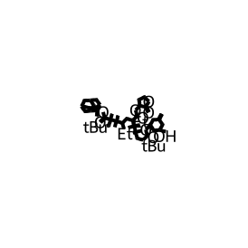 C=C1CC(C)(O)CC(CC)(OC(=O)C(CC(C)(CC)C(C)(C)C(CC(C)C(C)(C)C(C)(CC(C)(C)C)C(=O)OC2(C)C3CC4CC(C3)CC2C4)C(=O)OC2CCOC2=O)C(C)(C)C)C1